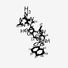 CCOC(=O)[C@H](C)NP(=O)(OC[C@H]1OC2(O)C([C@H]1O)[C@@H]2n1cnc2c(N)nc(C)nc21)Oc1cccc2ccccc12